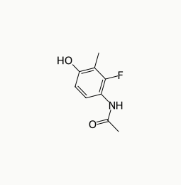 CC(=O)Nc1ccc(O)c(C)c1F